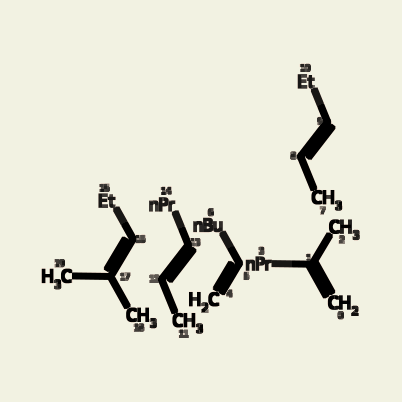 C=C(C)CCC.C=CCCCC.CC=CCC.CC=CCCC.CCC=C(C)C